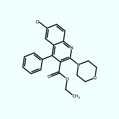 CCOC(=O)c1c(N2CCOCC2)nc2ccc(Cl)cc2c1-c1ccccc1